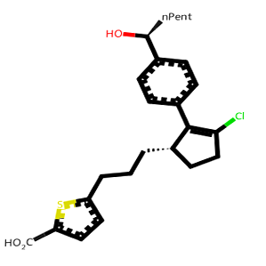 CCCCC[C@H](O)c1ccc(C2=C(Cl)CC[C@@H]2CCCc2ccc(C(=O)O)s2)cc1